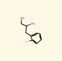 NC(CO)Cc1ccccc1F